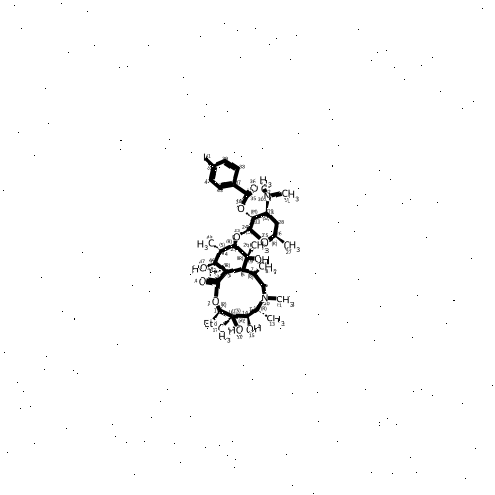 CC[C@H]1OC(=O)[C@@H]2C([C@@H](C)CN(C)[C@H](C)[C@@H](O)[C@]1(C)O)[C@@](C)(O)[C@H](O[C@@H]1O[C@H](C)C[C@H](N(C)C)[C@H]1OC(=O)c1ccc(I)cc1)[C@@H](C)[C@@H]2O